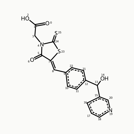 O=C(O)CN1C(=O)C(=Cc2ccc(C(O)c3cccnc3)cc2)SC1=S